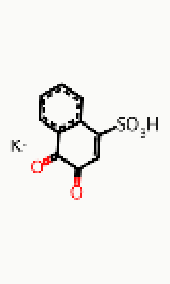 O=C1C=C(S(=O)(=O)O)c2ccccc2C1=O.[K]